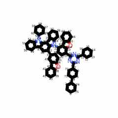 c1ccc(-c2ccc(-c3nc(-c4ccccc4)nc(-c4ccc(-n5c6ccccc6c6c5c(-c5ccc7oc8ccccc8c7c5)cc5c7ccccc7n(-c7ccccc7)c56)c5c4oc4ccccc45)n3)cc2)cc1